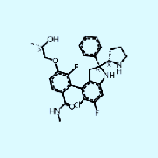 CNC(=O)c1ccc(OC[C@H](C)O)c(F)c1-c1c(Cl)c(F)cc2c1C[C@](c1ccccc1)([C@@H]1CCCN1)N2